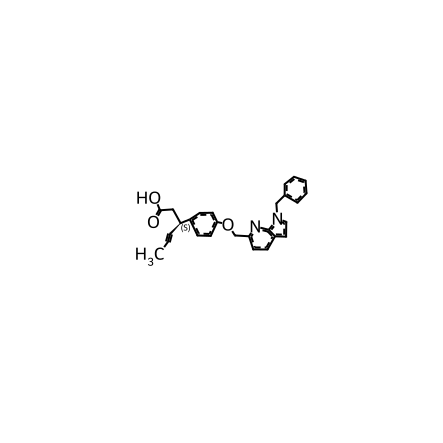 CC#C[C@@H](CC(=O)O)c1ccc(OCc2ccc3ccn(Cc4ccccc4)c3n2)cc1